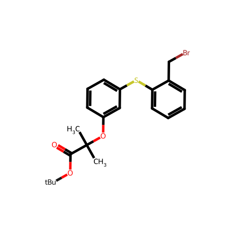 CC(C)(C)OC(=O)C(C)(C)Oc1cccc(Sc2ccccc2CBr)c1